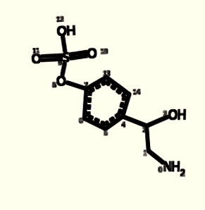 NCC(O)c1ccc(OS(=O)(=O)O)cc1